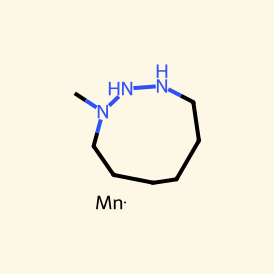 CN1CCCCCCNN1.[Mn]